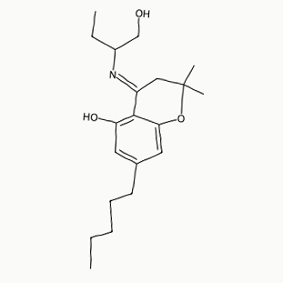 CCCCCc1cc(O)c2c(c1)OC(C)(C)CC2=NC(CC)CO